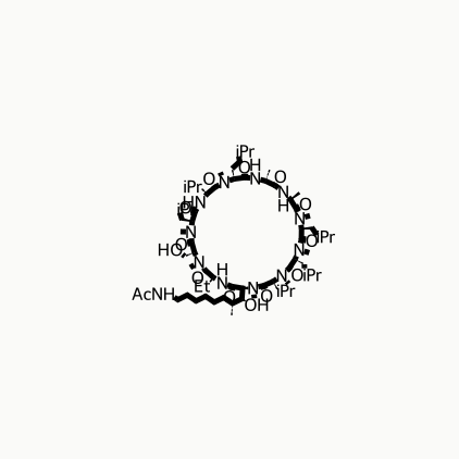 CC[C@H]1NC(=O)[C@H]([C@H](O)[C@H](C)CCCCCCNC(C)=O)N(C)C(=O)[C@@H](C(C)C)N(C)C(=O)[C@@H](CC(C)C)N(C)C(=O)[C@H](CC(C)C)N(C)C(=O)[C@H](C)NC(=O)[C@@H](C)NC(=O)[C@@H](CCC(C)C)N(C)C(=O)[C@@H](C(C)C)NC(=O)[C@H](CC(C)C)N(C)C(=O)[C@@H](CO)N(C)C1=O